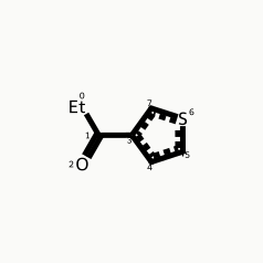 CCC(=O)c1c[c]sc1